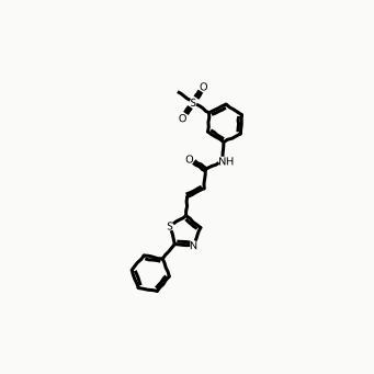 CS(=O)(=O)c1cccc(NC(=O)/C=C/c2cnc(-c3ccccc3)s2)c1